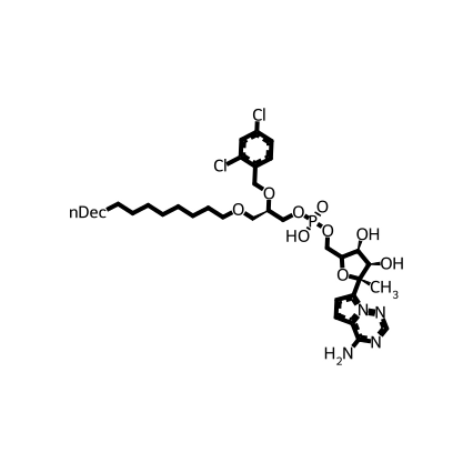 CCCCCCCCCCCCCCCCCCOC[C@H](COP(=O)(O)OCC1O[C@@](C)(c2ccc3c(N)ncnn23)[C@H](O)[C@@H]1O)OCc1ccc(Cl)cc1Cl